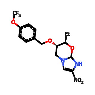 CC[C@H]1OC2NC([N+](=O)[O-])=CN2C[C@@H]1OCc1ccc(OC(F)(F)F)cc1